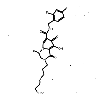 CCCCCCCCCCCCOCCCN1CN(C)n2cc(C(=O)NCc3ccc(F)cc3F)c(=O)c(O)c2C1=O